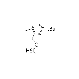 [CH2]c1ccc(C(C)(C)C)cc1CO[SiH](C)C